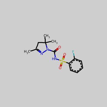 CC1=NN(C(=O)NS(=O)(=O)c2ccccc2F)C(C)(C)C1